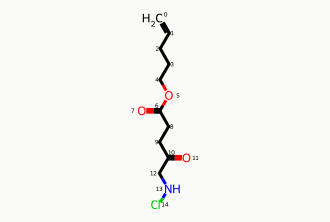 C=CCCCOC(=O)CCC(=O)CNCl